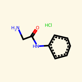 Cl.NCC(=O)Nc1ccccc1